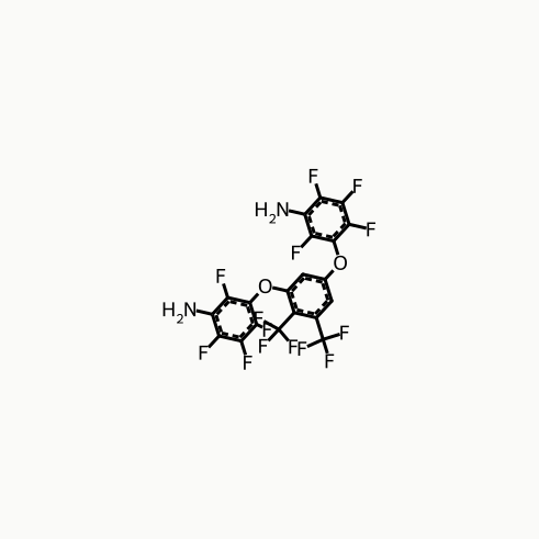 Nc1c(F)c(F)c(F)c(Oc2cc(Oc3c(F)c(N)c(F)c(F)c3F)c(C(F)(F)F)c(C(F)(F)F)c2)c1F